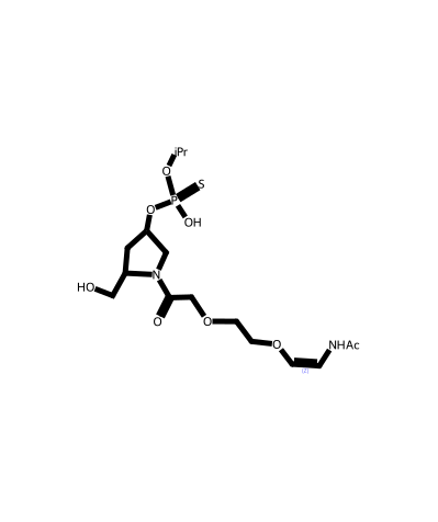 CC(=O)N/C=C\OCCOCC(=O)N1CC(OP(O)(=S)OC(C)C)CC1CO